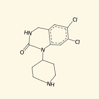 O=C1NCc2cc(Cl)c(Cl)cc2N1C1CCNCC1